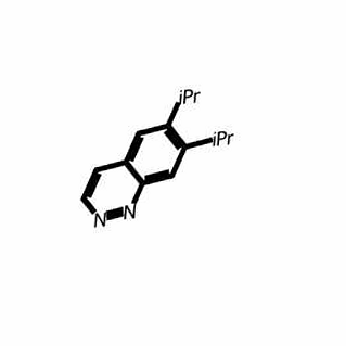 CC(C)c1cc2ccnnc2cc1C(C)C